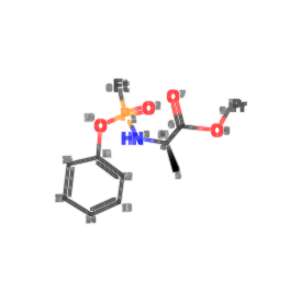 CCP(=O)(N[C@H](C)C(=O)OC(C)C)Oc1ccccc1